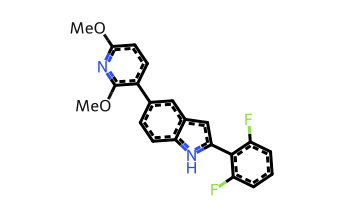 COc1ccc(-c2ccc3[nH]c(-c4c(F)cccc4F)cc3c2)c(OC)n1